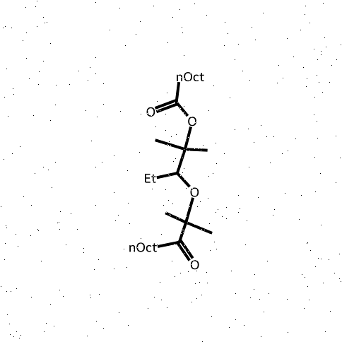 CCCCCCCCC(=O)OC(C)(C)C(CC)OC(C)(C)C(=O)CCCCCCCC